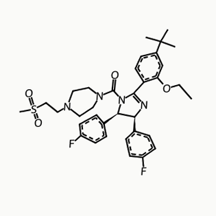 CCOc1cc(C(C)(C)C)ccc1C1=N[C@@H](c2ccc(F)cc2)[C@@H](c2ccc(F)cc2)N1C(=O)N1CCN(CCS(C)(=O)=O)CC1